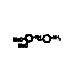 COc1ccc(NCC2CCC(N)CC2)cc1OC